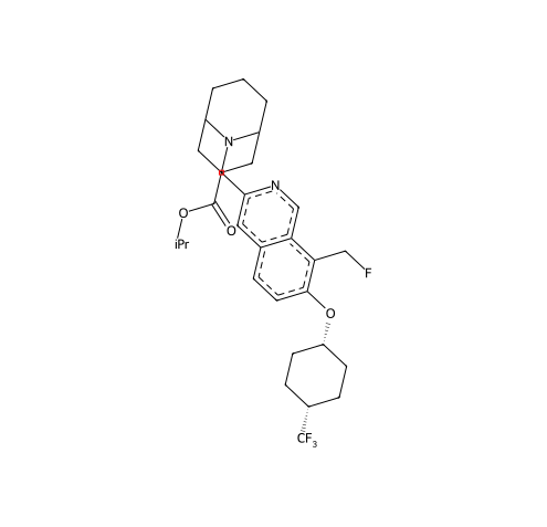 CC(C)OC(=O)C1CC2CCCC(C1)N2Cc1cc2ccc(O[C@H]3CC[C@@H](C(F)(F)F)CC3)c(CF)c2cn1